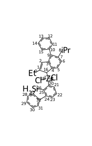 CCC1=Cc2c(ccc(C(C)C)c2-c2ccccc2)[CH]1[Zr]([Cl])([Cl])[c]1cccc2c1[SiH2]c1ccccc1-2